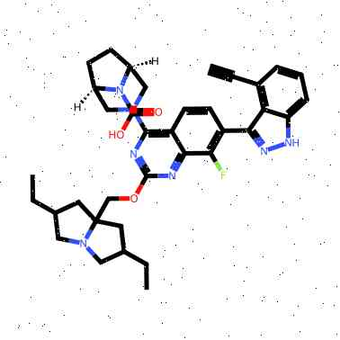 C#Cc1cccc2[nH]nc(-c3ccc4c(N5C[C@H]6CC[C@@H](C5)N6C(=O)O)nc(OCC56CC(CC)CN5CC(CC)C6)nc4c3F)c12